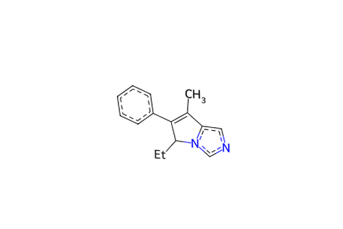 CCC1C(c2ccccc2)=C(C)c2cncn21